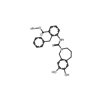 CCCOC(=O)c1cccc(NC(=S)N2CCCc3cc(O)c(O)cc3C2)c1Cc1ccccc1